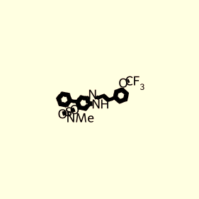 CNS(=O)(=O)c1ccccc1-c1ccc2[nH]c(/C=C/c3cccc(OC(F)(F)F)c3)nc2c1